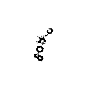 O=c1c(Cl)c(NC[C@@H]2CCCOC2)cnn1[C@H]1CC[C@H](n2ccc3ccccc32)CC1